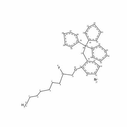 CCCCCCCC(F)COc1ccccc1C[P+](c1ccccc1)(c1ccccc1)c1ccccc1.[Br-]